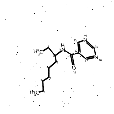 CCCCCCC(CC)NC(=O)c1cncnc1